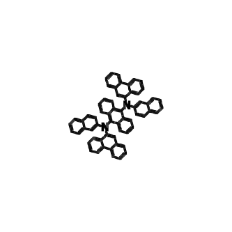 c1ccc2cc(N(c3c4ccccc4c(N(c4ccc5ccccc5c4)c4cc5ccccc5c5ccccc45)c4ccccc34)c3cc4ccccc4c4ccccc34)ccc2c1